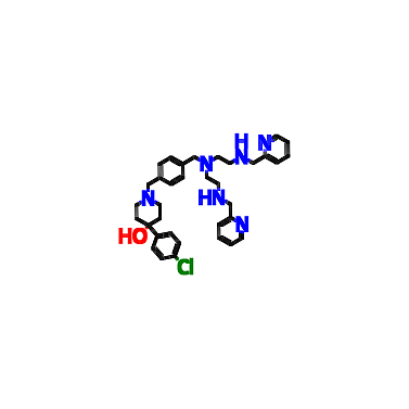 OC1(c2ccc(Cl)cc2)CCN(Cc2ccc(CN(CCNCc3ccccn3)CCNCc3ccccn3)cc2)CC1